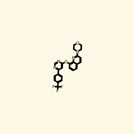 FC(F)(F)c1ccc(-c2cc(Oc3cccc4ccc(N5CCOCC5)nc34)ncn2)cc1